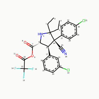 CCC1(CC)N[C@@H](C(=O)OC(=O)C(F)(F)F)[C@H](c2cccc(Cl)c2)[C@@]1(C#N)c1ccc(Cl)cc1